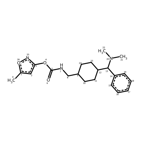 Cc1cc(OC(=O)NCC2CCC(C(c3ccccc3)N(C)C)CC2)no1